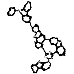 c1ccc(-c2nc(-c3cccc4c3sc3ccccc34)nc(-c3cccc4oc5ccc(-c6ccc7sc8cc(-c9ccc%10c(c9)c9ccccc9n%10-c9ccccc9)ccc8c7c6)cc5c34)n2)cc1